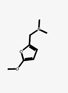 COc1ccc(CN(C)C)o1